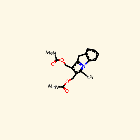 CCCc1c(COC(=O)NC)c(COC(=O)NC)c2n1-c1ccccc1C2